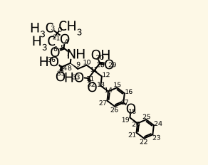 CC(C)(C)OC(=O)N[C@@H](CCC(CCc1ccc(OCc2ccccc2)cc1)(C(=O)O)C(=O)O)C(=O)O